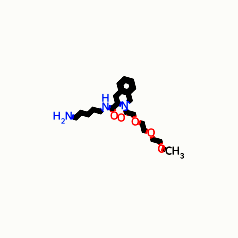 COCCOCCOCC(=O)N1Cc2ccccc2CC1C(=O)NCCCCCN